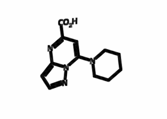 O=C(O)c1cc(N2CCCCC2)n2nccc2n1